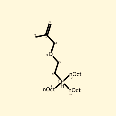 C=C(C)COCC[PH](CCCCCCCC)(CCCCCCCC)CCCCCCCC